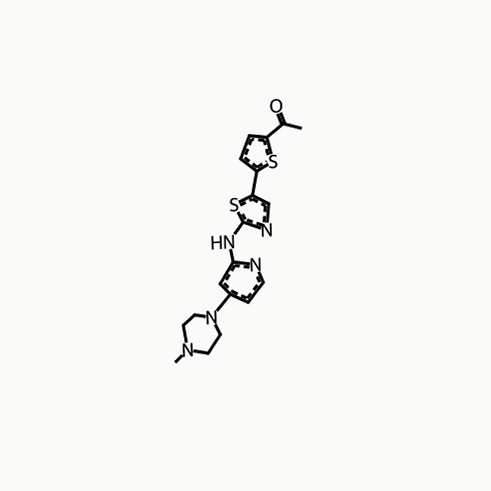 CC(=O)c1ccc(-c2cnc(Nc3cc(N4CCN(C)CC4)ccn3)s2)s1